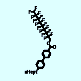 CCCCCCCc1ccc(-c2ccc(C(=O)OCC(F)(F)C(F)(F)C(F)(F)C(F)(F)C(F)(F)C(F)(F)C(F)(F)C(F)F)cc2)cc1